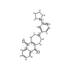 O=C1C2=C(CCN(c3ccnc(N4CCCC4)n3)CC2)C(=O)c2ccccc21